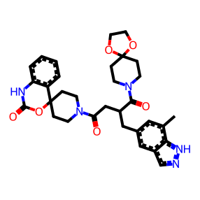 Cc1cc(CC(CC(=O)N2CCC3(CC2)OC(=O)Nc2ccccc23)C(=O)N2CCC3(CC2)OCCO3)cc2cn[nH]c12